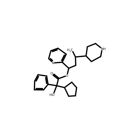 CC(CC(OC(=O)C(O)(c1ccccc1)C1CCCC1)c1ccccn1)C1CCNCC1